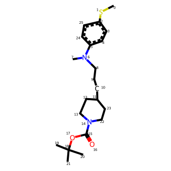 CSc1ccc(N(C)CCCC2CCN(C(=O)OC(C)(C)C)CC2)cc1